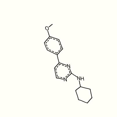 COc1ccc(-c2ccnc(NC3CCCCC3)n2)cc1